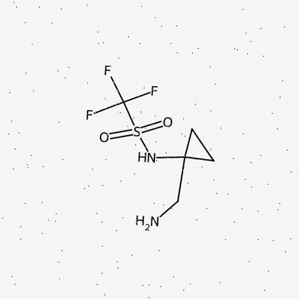 NCC1(NS(=O)(=O)C(F)(F)F)CC1